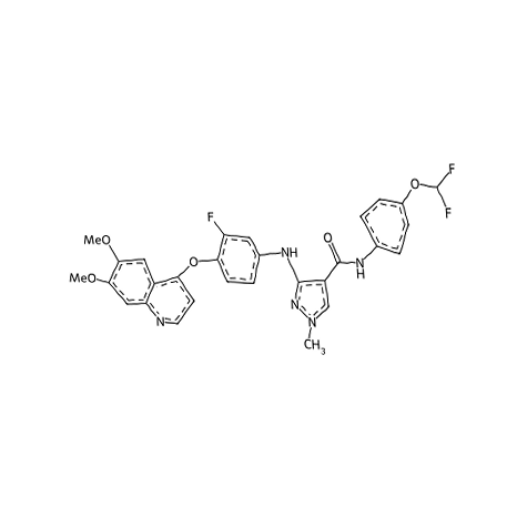 COc1cc2nccc(Oc3ccc(Nc4nn(C)cc4C(=O)Nc4ccc(OC(F)F)cc4)cc3F)c2cc1OC